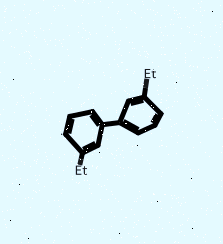 CCc1[c]ccc(-c2cccc(CC)c2)c1